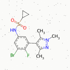 Cc1nn(C)c(C)c1-c1cc(NS(=O)(=O)C2CC2)cc(Br)c1F